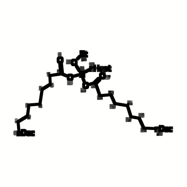 CCCCCCCCCCCCCCCCCC(=O)O[Si](CCCCCCC)(OCC)OC(=O)CCCCCCCCCCCCCCCCC